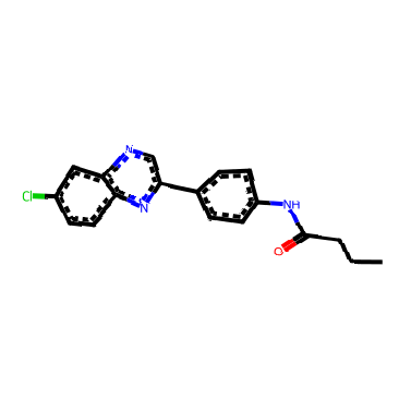 CCCC(=O)Nc1ccc(-c2cnc3cc(Cl)ccc3n2)cc1